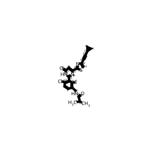 CC(C)C(=O)NCc1ccc(Cl)c(-c2nc(-c3nc(C#CC4CC4)cs3)cc(=O)[nH]2)c1F